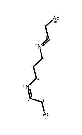 CC(=O)C/C=N\CCC/N=C/CC(C)=O